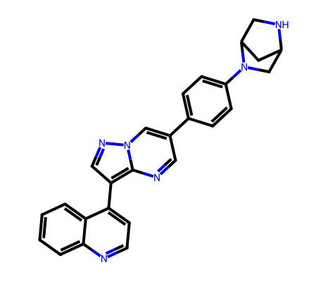 c1ccc2c(-c3cnn4cc(-c5ccc(N6CC7CC6CN7)cc5)cnc34)ccnc2c1